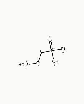 CCP(=O)(O)COS(=O)(=O)O